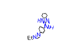 CCN1C=CN(c2ccc(Nc3nc4ccccc4[nH]3)cc2)C1